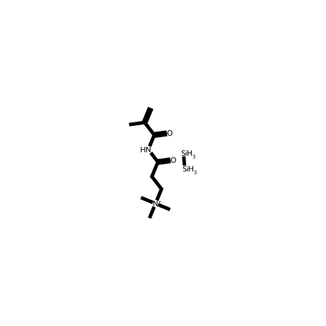 C=C(C)C(=O)NC(=O)CC[N+](C)(C)C.[SiH3][SiH3]